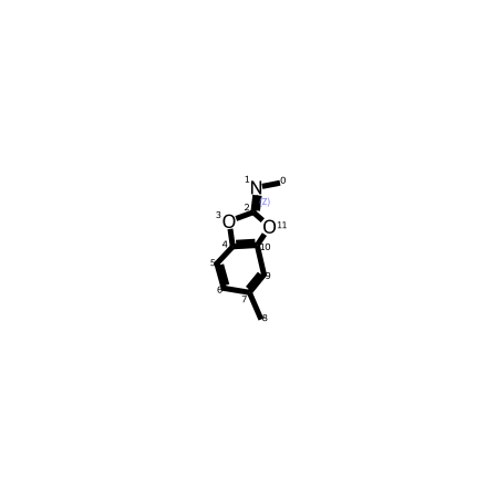 C/N=c1/oc2ccc(C)cc2o1